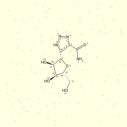 NC(=O)c1nn[nH]c1[C@@H]1O[C@H](CO)[C@@H](O)[C@H]1O